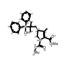 COC(=O)C1=C(C)[C@H](CC(C)(C)[Si](O)(c2ccccc2)c2ccccc2)CN1C(=O)OC(C)(C)C